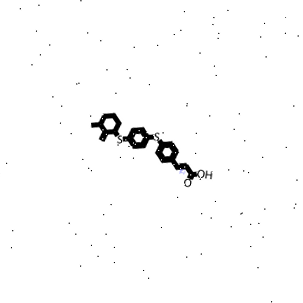 C=C1C(C)CCCC1Sc1ccc(Sc2ccc(/C=C/C(=O)O)cc2)cc1